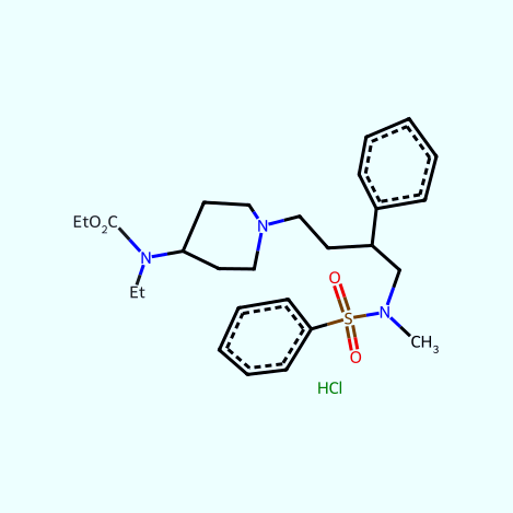 CCOC(=O)N(CC)C1CCN(CCC(CN(C)S(=O)(=O)c2ccccc2)c2ccccc2)CC1.Cl